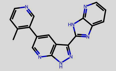 Cc1ccncc1-c1cnc2[nH]nc(-c3nc4cccnc4[nH]3)c2c1